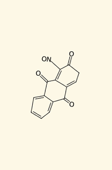 O=NC1=C2C(=O)c3ccccc3C(=O)C2=CCC1=O